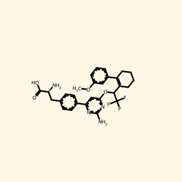 COc1cccc(C2=C(C(Oc3cc(-c4ccc(C[C@H](N)C(=O)O)cc4)nc(N)n3)C(F)(F)F)CCCC2)c1